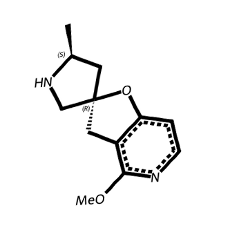 COc1nccc2c1C[C@@]1(CN[C@@H](C)C1)O2